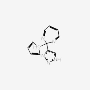 C1=CC=NC(c2c[nH]nn2)([SH]2C=CC=C2)N=C1